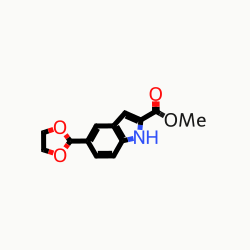 COC(=O)c1cc2cc(C3OCCO3)ccc2[nH]1